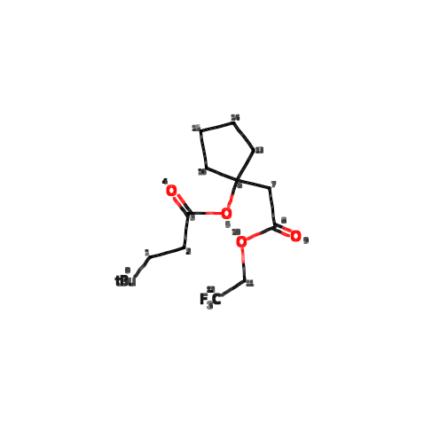 CC(C)(C)CCC(=O)OC1(CC(=O)OCC(F)(F)F)CCCC1